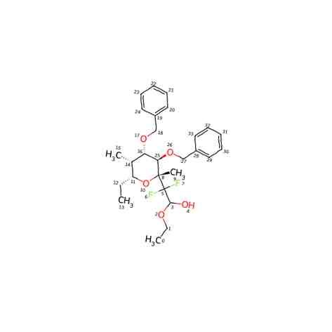 CCOC(O)C(F)(F)[C@]1(C)O[C@H](CC)[C@H](C)[C@H](OCc2ccccc2)[C@H]1OCc1ccccc1